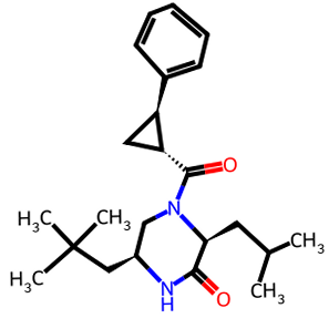 CC(C)C[C@H]1C(=O)N[C@@H](CC(C)(C)C)CN1C(=O)[C@@H]1C[C@H]1c1ccccc1